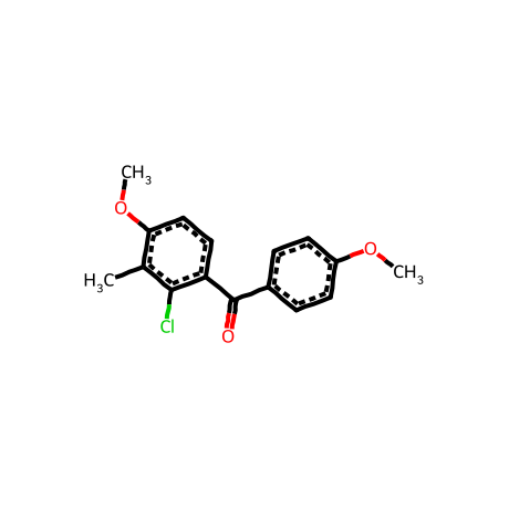 COc1ccc(C(=O)c2ccc(OC)c(C)c2Cl)cc1